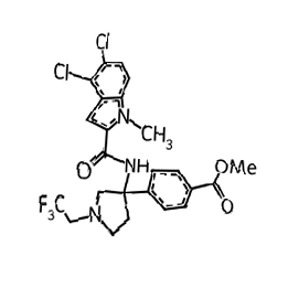 COC(=O)c1ccc(C2(NC(=O)c3cc4c(Cl)c(Cl)ccc4n3C)CCN(CC(F)(F)F)C2)cc1